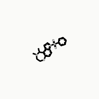 CC1c2c(ccc3c2ccn3S(=O)(=O)c2ccccc2)OCCN1C